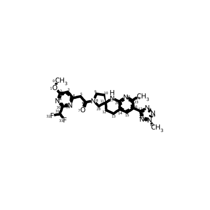 COc1cc(CC(=O)N2CC[C@@]3(CCc4cc(-c5nnn(C)n5)c(C)nc4N3)C2)nc(C(F)F)n1